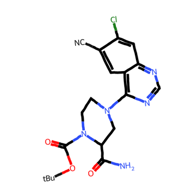 CC(C)(C)OC(=O)N1CCN(c2ncnc3cc(Cl)c(C#N)cc23)CC1C(N)=O